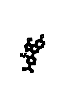 CCC(=O)c1cc(C)c(-c2cc3cnc(Cl)cc3n3c(C#N)cnc23)cn1